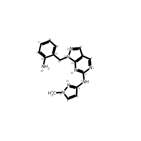 Cn1ccc(Nc2ncc3cnn(Cc4ccccc4N)c3n2)n1